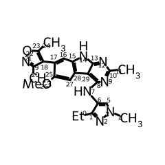 CCc1nn(C)cc1Nc1nc(C)nc2[nH]c3cc(-c4c(C)noc4C)c(OC)cc3c12